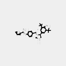 CC(C)(C)c1cc(C2CNC(=O)N2C(=O)c2ccc(NC(=N)c3cccs3)cc2)cc(C(C)(C)C)c1O